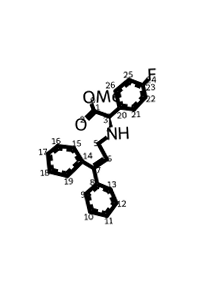 COC(=O)[C@H](NCC=C(c1ccccc1)c1ccccc1)c1ccc(F)cc1